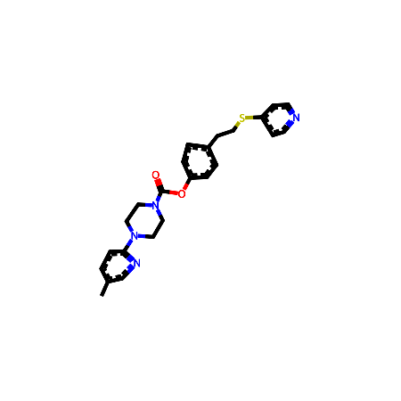 Cc1ccc(N2CCN(C(=O)Oc3ccc(CCSc4ccncc4)cc3)CC2)nc1